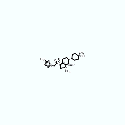 CCC[C@H]1C2[C@H](C)C[C@H](C(=O)Cn3nnc(C)n3)[C@@]2(C)CCC1[C@H]1CC[C@@](C)(O)CC1